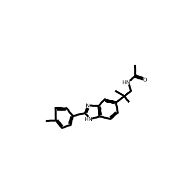 CC(=O)NCC(C)(C)c1ccc2[nH]c(-c3ccc(C)cc3)nc2c1